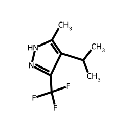 Cc1[nH]nc(C(F)(F)F)c1C(C)C